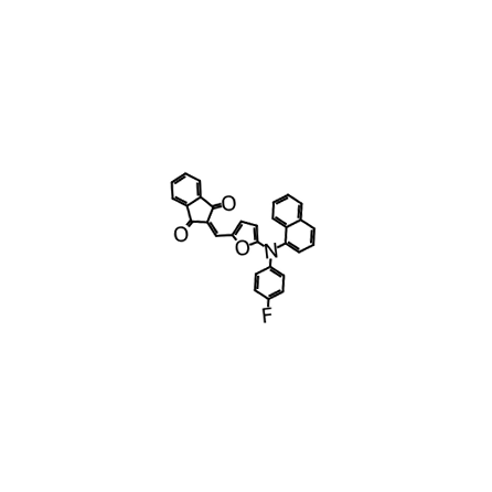 O=C1C(=Cc2ccc(N(c3ccc(F)cc3)c3cccc4ccccc34)o2)C(=O)c2ccccc21